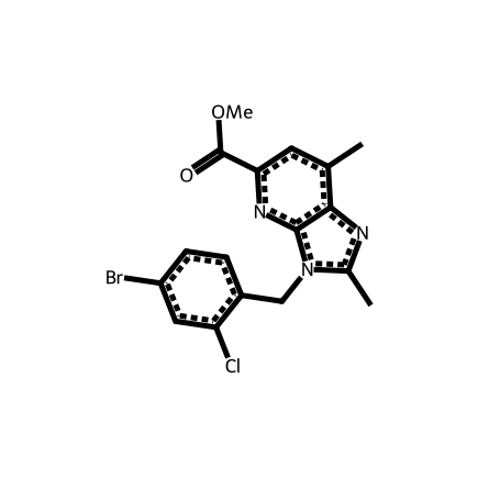 COC(=O)c1cc(C)c2nc(C)n(Cc3ccc(Br)cc3Cl)c2n1